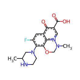 CC1CN(c2c(F)cc3c(=O)c(C(=O)O)cn4c3c2OCN4C)CCN1